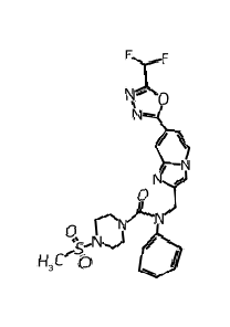 CS(=O)(=O)N1CCN(C(=O)N(Cc2cn3ccc(-c4nnc(C(F)F)o4)cc3n2)c2ccccc2)CC1